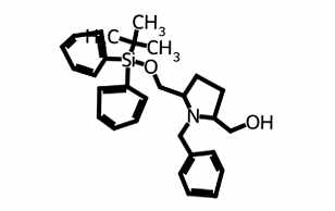 CC(C)(C)[Si](OCC1CCC(CO)N1Cc1ccccc1)(c1ccccc1)c1ccccc1